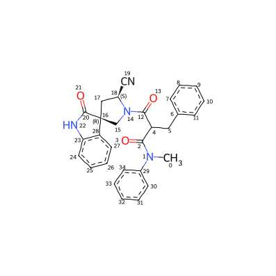 CN(C(=O)C(Cc1ccccc1)C(=O)N1C[C@]2(C[C@H]1C#N)C(=O)Nc1ccccc12)c1ccccc1